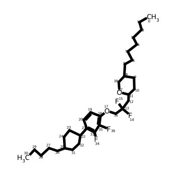 CCCCCCCCC1CCC(CC(F)(F)COc2ccc(C3CCC(CCCCC)CC3)c(F)c2F)OC1